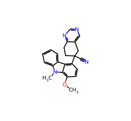 COc1ccc(C2(C#N)CCc3ncncc3C2)c2c3ccccc3n(C)c12